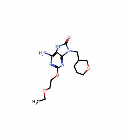 CCOCCOc1nc(N)c2[nH]c(=O)n(CC3CCCOC3)c2n1